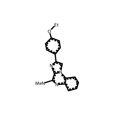 CCOc1ccc(-c2cn3c(n2)c(NC)nc2ccccc23)cc1